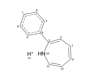 C1=CC=C(c2ccccc2)NC=C1.[H+]